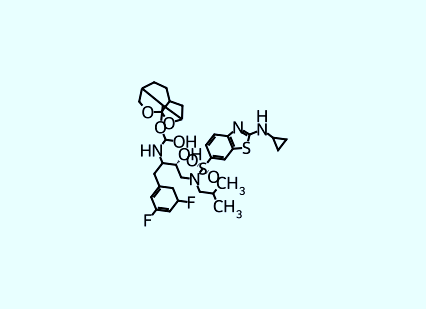 CC(C)CN(C[C@@H](O)C(CC1=CC(F)=CC(F)C1)NC(O)OC1C2CCC3CC1OC3OC2)S(=O)(=O)c1ccc2nc(NC3CC3)sc2c1